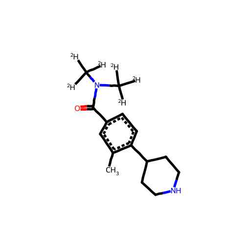 [2H]C([2H])([2H])N(C(=O)c1ccc(C2CCNCC2)c(C)c1)C([2H])([2H])[2H]